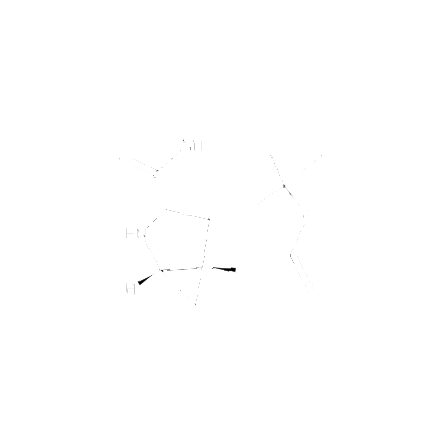 CC(C)(C)OC=O.NC(=O)[C@@H]1C[C@@H]2C[C@@H]2N1